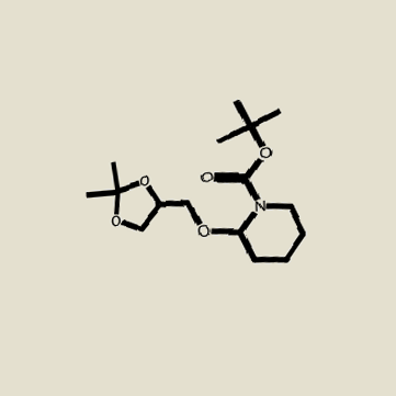 CC(C)(C)OC(=O)N1CCCCC1OCC1COC(C)(C)O1